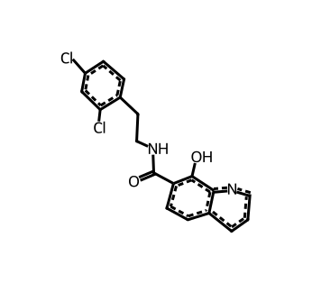 O=C(NCCc1ccc(Cl)cc1Cl)c1ccc2cccnc2c1O